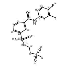 Cc1cc(NC(=O)c2cccc(S(=O)(=O)NCCS(C)(=O)=O)c2)ccc1F